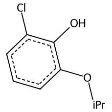 CC(C)Oc1cccc(Cl)c1O